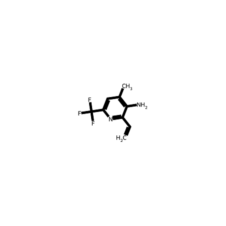 C=Cc1nc(C(F)(F)F)cc(C)c1N